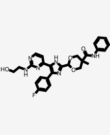 CC1(C(=O)Nc2ccccc2)COC(c2nc(-c3ccc(F)cc3)c(-c3ccnc(NCCO)n3)[nH]2)OC1